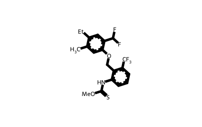 CCc1cc(C(F)F)c(OCc2c(NC(=S)OC)cccc2C(F)(F)F)cc1C